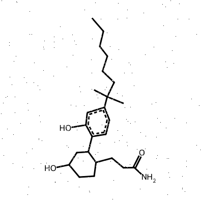 CCCCCCC(C)(C)c1ccc(C2CC(O)CCC2CCC(N)=O)c(O)c1